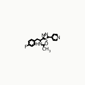 CC(=O)NC(Cc1ccc(F)cc1)c1nnc(-c2ccncc2)s1